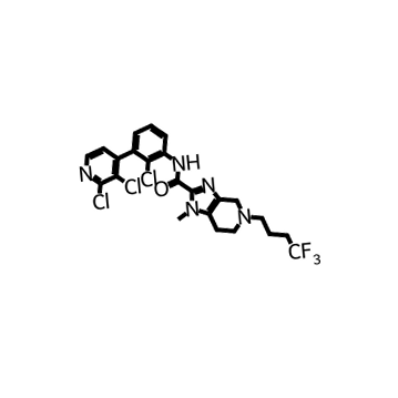 Cn1c(C(=O)Nc2cccc(-c3ccnc(Cl)c3Cl)c2Cl)nc2c1CCN(CCCC(F)(F)F)C2